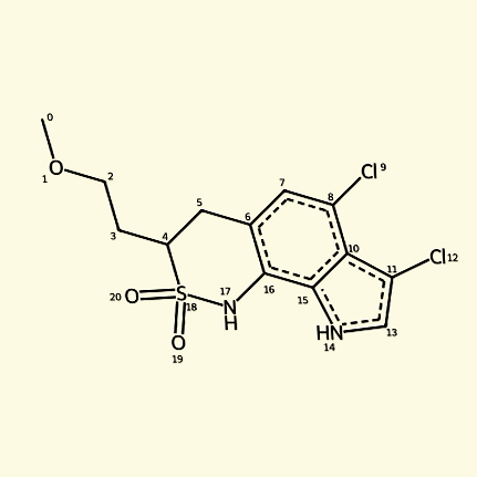 COCCC1Cc2cc(Cl)c3c(Cl)c[nH]c3c2NS1(=O)=O